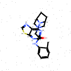 Cc1ccccc1NC(=O)CN1CC2CCC(C1)N2c1ncnc2scnc12